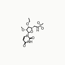 CCO[C@H]1[C@@H](OC)[C@H](n2ccc(=O)[nH]c2=O)O[C@@H]1CNS(C)(=O)=O